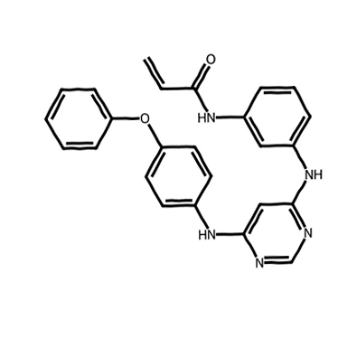 C=CC(=O)Nc1cccc(Nc2cc(Nc3ccc(Oc4ccccc4)cc3)ncn2)c1